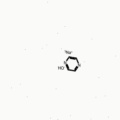 [1Na+].[OH-].c1cnccn1